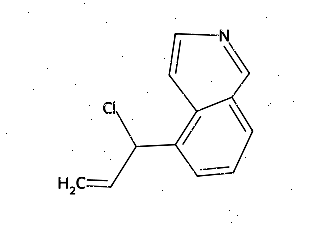 C=CC(Cl)c1cccc2cnccc12